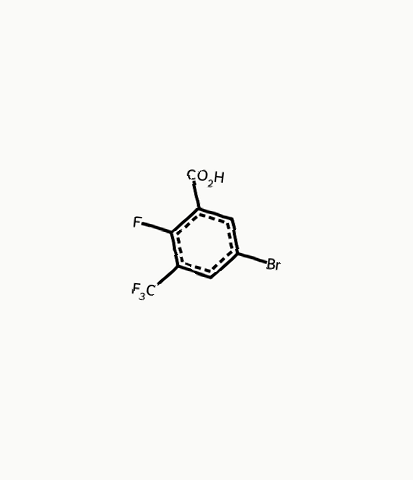 O=C(O)c1cc(Br)cc(C(F)(F)F)c1F